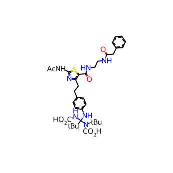 CC(=O)Nc1nc(CCc2ccc(NC(NC(=O)O)(N(C(=O)O)C(C)(C)C)C(C)(C)C)cc2)c(C(=O)NCCNC(=O)Cc2ccccc2)s1